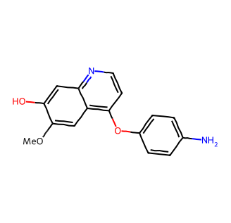 COc1cc2c(Oc3ccc(N)cc3)ccnc2cc1O